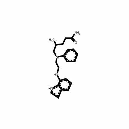 CC(CCC(N)=O)CN(CCNc1cccc2cc[nH]c12)c1ccccc1